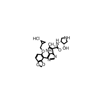 Cc1[nH]c2c(-c3c(OCC4CC4)ccc4c3OCO4)ncnc2c1C(=O)N[C@@H]1CNC[C@@H]1O.Cl